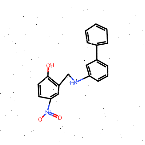 O=[N+]([O-])c1ccc(O)c(CNc2cccc(-c3ccccc3)c2)c1